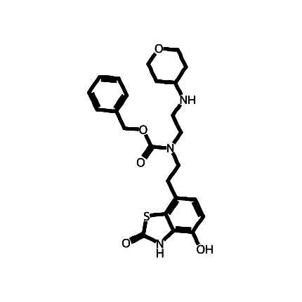 O=C(OCc1ccccc1)N(CCNC1CCOCC1)CCc1ccc(O)c2[nH]c(=O)sc12